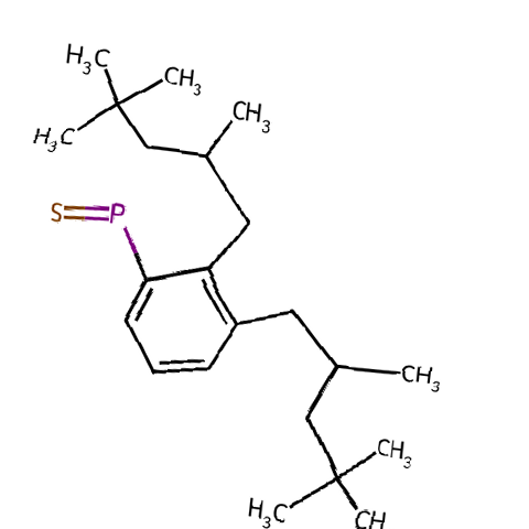 CC(Cc1cccc(P=S)c1CC(C)CC(C)(C)C)CC(C)(C)C